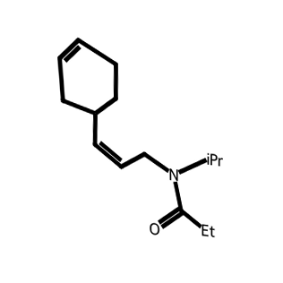 CCC(=O)N(C/C=C\C1CC=CCC1)C(C)C